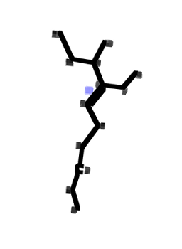 CCCCC/C=C(\CC)C(C)CC